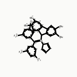 CC(C)(C)c1cc2c(cc1C(C)(C)C)[CH]([Zr](=[C](c1cc(C(F)(F)F)cc(C(F)(F)F)c1)c1cc(C(F)(F)F)cc(C(F)(F)F)c1)[CH]1C=CC=C1)c1cc(C(C)(C)C)c(C(C)(C)C)cc1-2